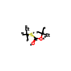 CCC(C)(C)OC(=O)SC(C)(C)CC